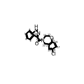 O=C(c1n[nH]c2ccccc12)N1CCOc2ccc(Cl)cc2C1